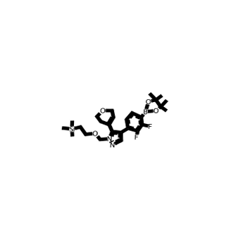 CC1(C)OB(c2ccc(-c3cnn(COCC[Si](C)(C)C)c3C3=CCOCC3)c(F)c2F)OC1(C)C